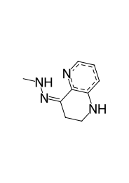 CN/N=C1/CCNc2cccnc21